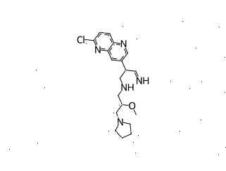 COC(CNCC(C=N)c1cnc2ccc(Cl)nc2c1)CN1CCCC1